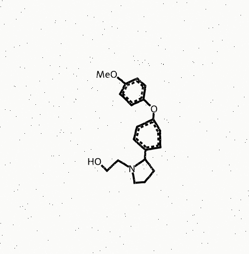 COc1ccc(Oc2ccc(C3CCCN3CCO)cc2)cc1